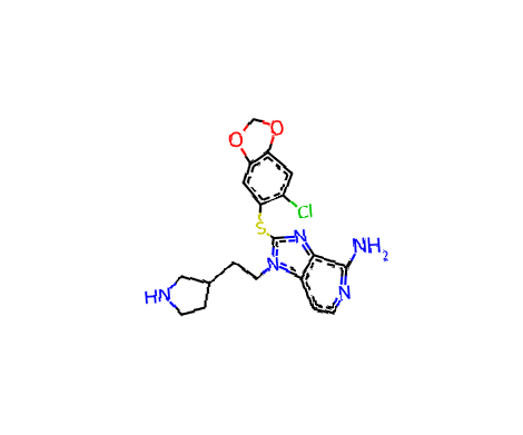 Nc1nccc2c1nc(Sc1cc3c(cc1Cl)OCO3)n2CCC1CCNC1